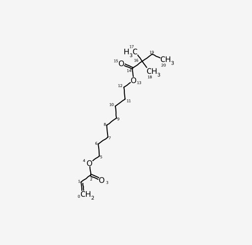 C=CC(=O)OCCCCCCCCOC(=O)C(C)(C)CC